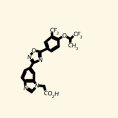 CC(Oc1ccc(-c2nc(-c3ccc4ncn(CC(=O)O)c4c3)no2)cc1C(F)(F)F)C(F)(F)F